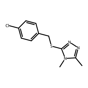 Cc1nnc(SCc2ccc(Cl)cc2)n1C